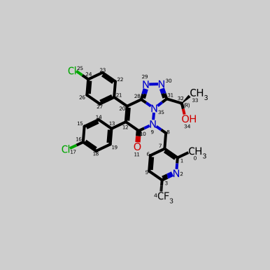 Cc1nc(C(F)(F)F)ccc1Cn1c(=O)c(-c2ccc(Cl)cc2)c(-c2ccc(Cl)cc2)c2nnc([C@@H](C)O)n21